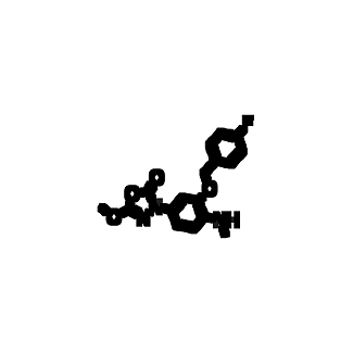 CNc1ccc(-n2nc(OC)oc2=O)cc1OCc1ccc(F)cc1